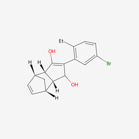 CCc1ccc(Br)cc1C1=C(O)[C@@H]2[C@H](C1O)[C@@H]1C=C[C@H]2C1